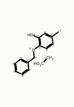 CC(=O)O.Oc1cc(I)ccc1OCc1ccccc1